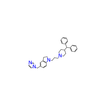 c1ccc(C(c2ccccc2)C2CCN(CCCN3CCc4cc(Cn5ccnc5)ccc43)CC2)cc1